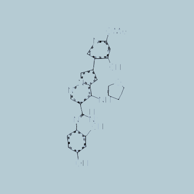 COc1cc(C)c(-c2cc3c(N[C@H]4CCOC4)c(/C(N)=N/c4ccc(O)cc4C)cnn3c2)cn1